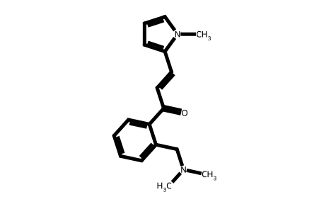 CN(C)Cc1ccccc1C(=O)C=Cc1cccn1C